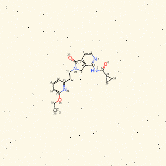 O=C(Nc1nccc2c1CN(CCc1cccc(OCC(F)(F)F)n1)C2=O)C1CC1